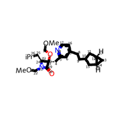 COCO[C@@]1(Cc2cc(CCC3C[C@@H]4C[C@@H]4C3)ccn2)C(=O)N(COC)[C@H]1CC(C)C